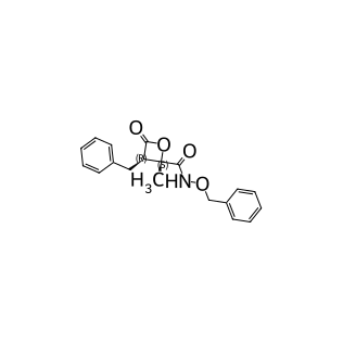 C[C@]1(C(=O)NOCc2ccccc2)OC(=O)[C@@H]1Cc1ccccc1